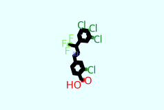 O=C(O)c1ccc(/C=C/C(c2cc(Cl)c(Cl)c(Cl)c2)C(F)(F)F)cc1Cl